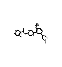 CCOc1ccc(C2C=NN(C)C2)cc1-c1cnc(NC(=O)c2cnccc2C)cn1